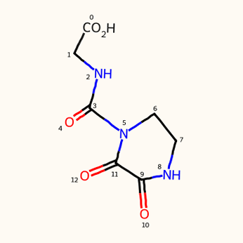 O=C(O)CNC(=O)N1CCNC(=O)C1=O